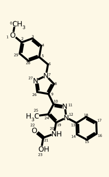 COc1ccc(Cn2cc(-c3nn(-c4ccccc4)c(NC(=O)O)c3C)cn2)cc1